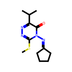 CSc1nnc(C(C)C)c(=O)n1N=C1CCCC1